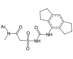 CC(=O)N(C)C(=O)CS(=O)(=O)NC(=O)Nc1c2c(cc3c1CCC3)CCC2